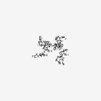 Nc1ncnc2c1ncn2[C@@H]1O[C@H](COP(O)(=S)OC2[C@@H](O)[C@@H](COP(O)(=S)OC3[C@@H](O)[C@@H](COP(O)(=S)OCCO)O[C@H]3n3cnc4c(N)ncnc43)O[C@H]2n2cnc3c(N)ncnc32)[C@H](O)C1O